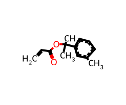 C=CC(=O)OC(C)(C)c1cccc(C)c1